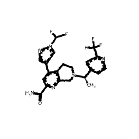 C[C@H](c1ccnc(C(F)(F)F)c1)N1CCc2c(-c3cnn(C(F)F)c3)cc(C(N)=O)nc2C1